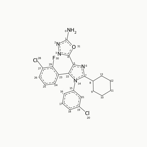 Nc1nnc(-c2nc(C3CCCCC3)n(-c3[c]ccc(Cl)c3)c2-c2cccc(Cl)c2F)o1